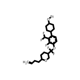 C=CCCC1CCC(C(F)(F)Oc2ccc(C3CCC(OCC)CC3)c(C(F)F)c2F)CO1